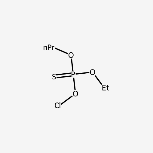 CCCOP(=S)(OCl)OCC